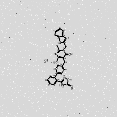 CCCCc1nc(C)n(Cc2nc3ccccc3s2)c(=O)c1Cc1ccc(-c2ccccc2-c2noc(=O)[nH]2)cc1.[KH]